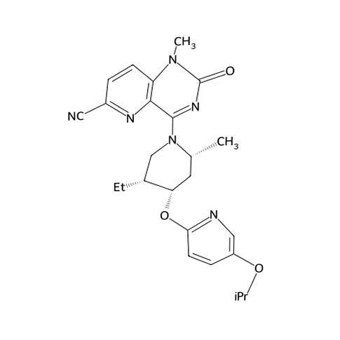 CC[C@@H]1CN(c2nc(=O)n(C)c3ccc(C#N)nc23)[C@H](C)C[C@@H]1Oc1ccc(OC(C)C)cn1